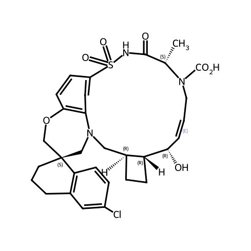 C[C@H]1C(=O)NS(=O)(=O)c2ccc3c(c2)N(C[C@@H]2CC[C@H]2[C@@H](O)/C=C/CN1C(=O)O)C[C@@]1(CCCc2cc(Cl)ccc21)CO3